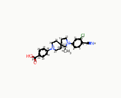 C[C@@H]1N(c2ccc(C#N)c(Cl)c2)CCC12CCN(c1ccc(C(=O)O)cc1)CC2